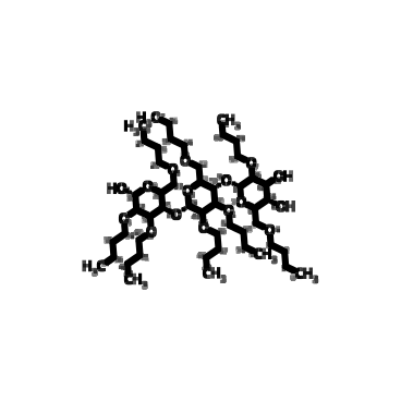 CCCCOCC1O[C@H](O[C@H]2C(COCCCC)O[C@@H](O[C@@H]3C(COCCCC)O[C@@H](O)C(OCCCC)C3OCCCC)C(OCCCC)C2OCCCC)C(OCCCC)C(O)[C@H]1O